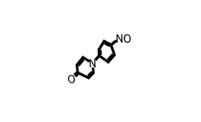 O=Nc1ccc(-n2ccc(=O)cc2)cc1